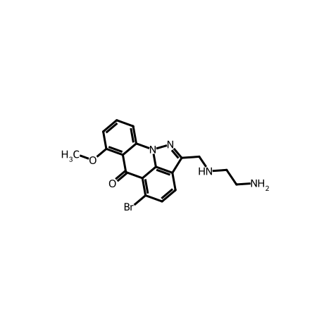 COc1cccc2c1c(=O)c1c(Br)ccc3c(CNCCN)nn2c31